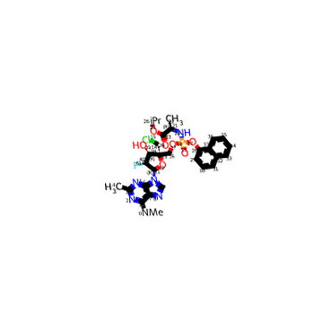 CNc1nc(C)nc2c1ncn2[C@@H]1O[C@](CCl)(COP(=O)(N[C@H](C)C(=O)OC(C)C)Oc2cccc3ccccc23)[C@@H](O)[C@@H]1F